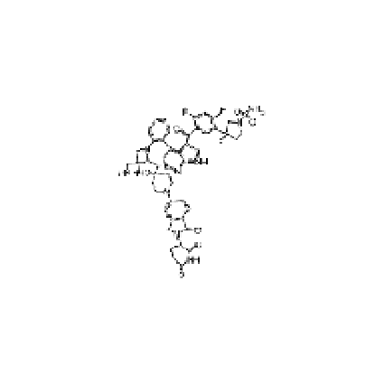 NS(=O)(=O)N1CCC(F)(c2cc(C(=O)c3c[nH]c4nccc(-c5ccccc5N5CC6(CNC6)C5CC5(O)CCN(c6ccc7c(c6)CN(C6CCC(=O)NC6=O)C7=O)CC5)c34)c(F)cc2F)C1